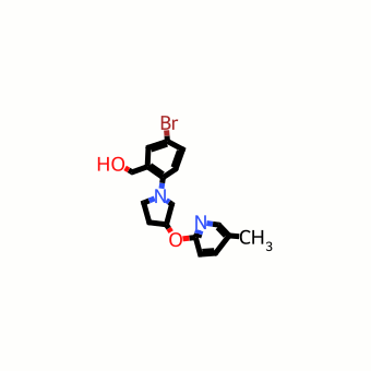 Cc1ccc(OC2CCN(c3ccc(Br)cc3CO)C2)nc1